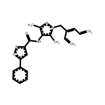 C=C/C=C(\C=C)Cn1nc(C)c(NC(=O)c2cc(-c3ccccc3)on2)c1C